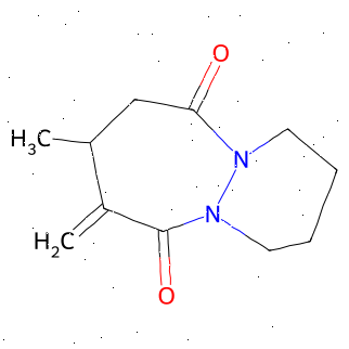 C=C1C(=O)N2CCCCN2C(=O)CC1C